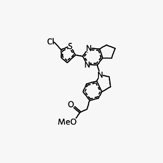 COC(=O)Cc1ccc2c(c1)CCN2c1nc(-c2ccc(Cl)s2)nc2c1CCC2